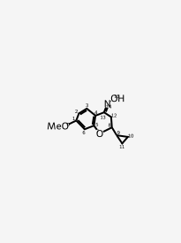 COc1ccc2c(c1)OC(C1CC1)CC2=NO